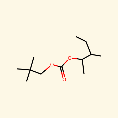 CCC(C)C(C)OC(=O)OCC(C)(C)C